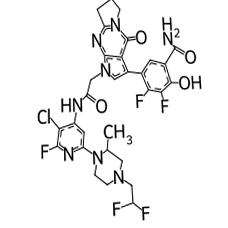 CC1CN(CC(F)F)CCN1c1cc(NC(=O)Cn2cc(-c3cc(C(N)=O)c(O)c(F)c3F)c3c(=O)n4c(nc32)CCC4)c(Cl)c(F)n1